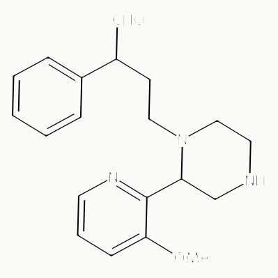 COc1cccnc1C1CNCCN1CCC(C=O)c1ccccc1